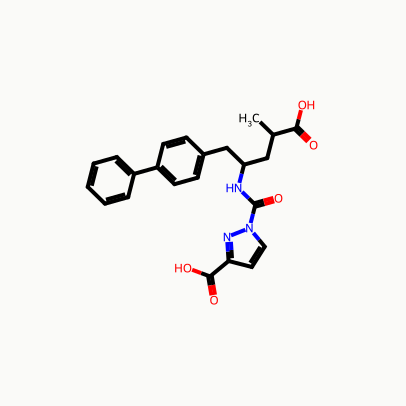 CC(CC(Cc1ccc(-c2ccccc2)cc1)NC(=O)n1ccc(C(=O)O)n1)C(=O)O